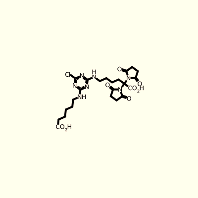 O=C(O)CCCCCNc1nc(Cl)nc(NCCCCC(C(=O)O)(N2C(=O)CCC2=O)N2C(=O)CCC2=O)n1